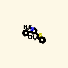 Cc1ccccc1-c1cc(-c2cc3ccccc3s2)cc[n+]1C